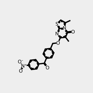 Cc1c(OCc2ccc(C(=O)c3ccc([N+](=O)[O-])cc3)cc2)nc2scc(C)n2c1=O